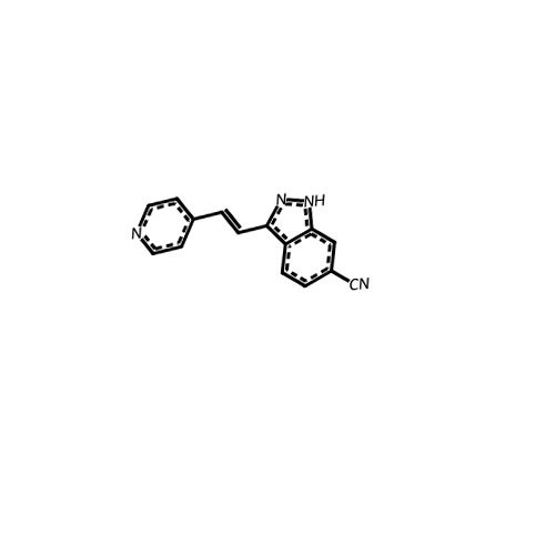 N#Cc1ccc2c(C=Cc3ccncc3)n[nH]c2c1